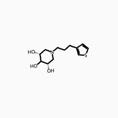 OC1[C@H](O)CN(CCCc2ccsc2)C[C@@H]1O